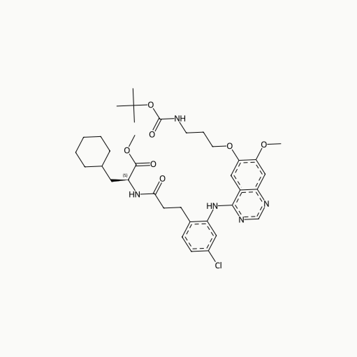 COC(=O)[C@H](CC1CCCCC1)NC(=O)CCc1ccc(Cl)cc1Nc1ncnc2cc(OC)c(OCCCNC(=O)OC(C)(C)C)cc12